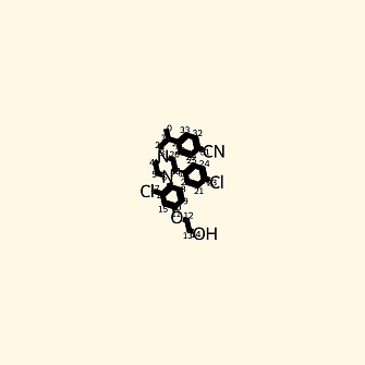 CC(CN1CCN(c2ccc(OCCO)cc2Cl)[C@H](c2ccc(Cl)cc2)C1)c1ccc(C#N)cc1